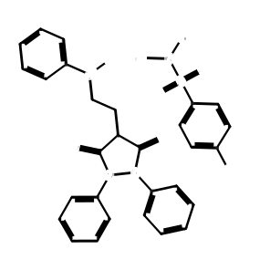 CCCN(CCC)S(=O)(=O)c1ccc(C(=O)O)cc1.O=C1C(CC[S+]([O-])c2ccccc2)C(=O)N(c2ccccc2)N1c1ccccc1